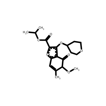 COC1C(=O)c2c(sc(C(=O)OC(C)C)c2OC2CCOCC2)C=C1C